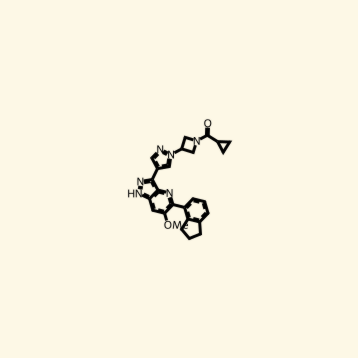 COc1cc2[nH]nc(-c3cnn(C4CN(C(=O)C5CC5)C4)c3)c2nc1-c1cccc2c1CCC2